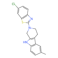 Cc1ccc2[nH]c3c(c2c1)CCN(c1nc2ccc(Cl)cc2s1)C3